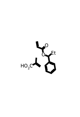 C=C(C)C(=O)O.C=CC(=O)OC(CC)c1ccccc1